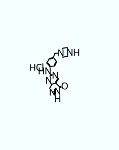 Cl.O=c1[nH]ncc2nc(Nc3ccc(CN4CCNCC4)cc3)ncc12